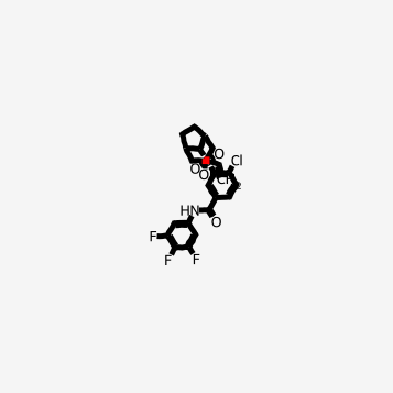 C=CC1(O)CC2CCC(C1)C2S(=O)(=O)c1cc(C(=O)Nc2cc(F)c(F)c(F)c2)ccc1Cl